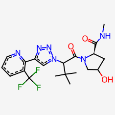 CNC(=O)[C@H]1CC(O)CN1C(=O)C(n1cc(-c2ncccc2C(F)(F)F)nn1)C(C)(C)C